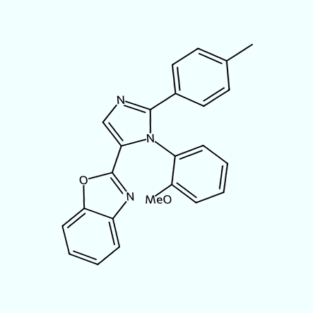 COc1ccccc1-n1c(-c2nc3ccccc3o2)cnc1-c1ccc(C)cc1